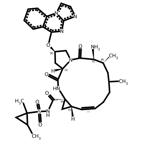 CC1CC/C=C\[C@@H]2C[C@@]2(C(=O)NS(=O)(=O)C2(C)CC2C)NC(=O)[C@@H]2C[C@@H](Oc3nc4nccn4c4ccccc34)CN2C(=O)[C@@H](N)[C@H](C)C1